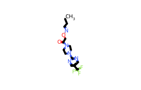 CCCC=NOCC(=O)N1CCN(c2ncc(C(F)(F)F)cn2)CC1